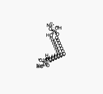 O.O.O.O.O.O.O.O.O.O.O.O.O=P([O-])(O)O.O=P([O-])(O)O.[Na+].[Na+]